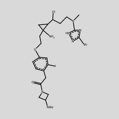 CCC(CCN(C)c1nc(C(C)C)n[nH]1)C1CC1(N)CCOc1ccc(CC(=O)N2CC(NC)C2)c(F)c1